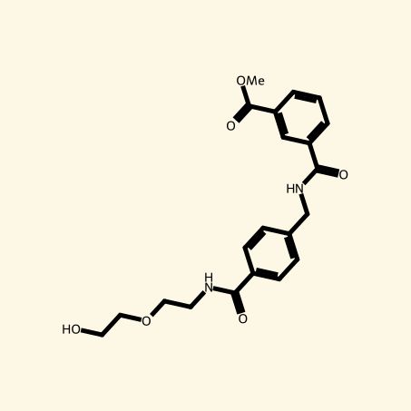 COC(=O)c1cccc(C(=O)NCc2ccc(C(=O)NCCOCCO)cc2)c1